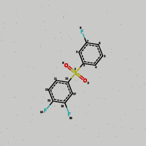 O=S(=O)(c1cccc(F)c1)c1ccc(F)c(F)c1